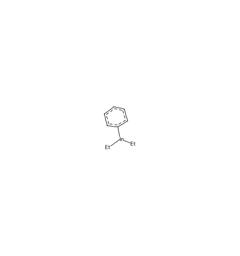 C[CH2][In]([CH2]C)[c]1ccccc1